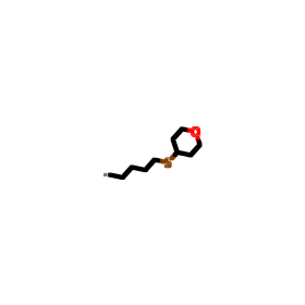 [CH2]CCCCSC1CCOCC1